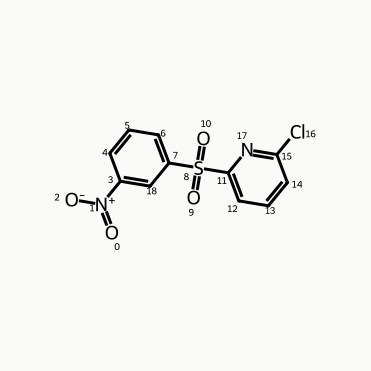 O=[N+]([O-])c1cccc(S(=O)(=O)c2cccc(Cl)n2)c1